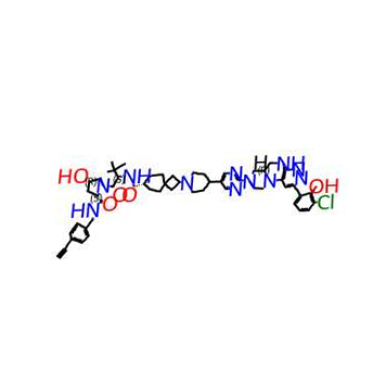 C#Cc1ccc(CNC(=O)[C@@H]2C[C@@H](O)CN2C(=O)[C@@H](NC(=O)[C@H]2CCC3(CC2)C[C@H](N2CCC(c4cnc(N5CCN6c7cc(-c8cccc(Cl)c8O)nnc7NC[C@@H]6C5)nc4)CC2)C3)C(C)(C)C)cc1